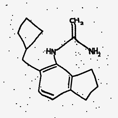 C=C(N)Nc1c(CC2CCC2)ccc2c1CCC2